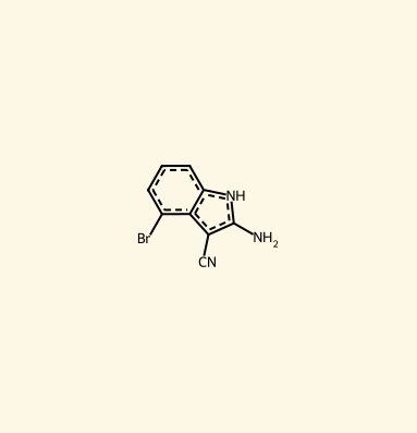 N#Cc1c(N)[nH]c2cccc(Br)c12